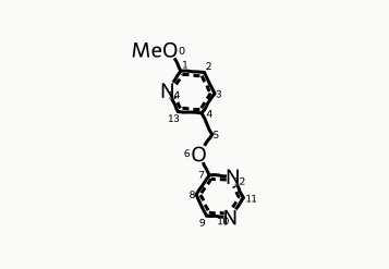 COc1ccc(COc2ccncn2)cn1